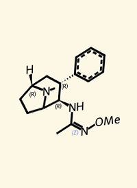 CO/N=C(/C)N[C@H]1C2CC[C@H](C[C@@H]1c1ccccc1)N2C